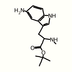 CNC(Cc1c[nH]c2ccc(N)cc12)C(=O)OC(C)(C)C